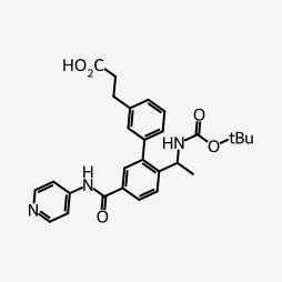 CC(NC(=O)OC(C)(C)C)c1ccc(C(=O)Nc2ccncc2)cc1-c1cccc(CCC(=O)O)c1